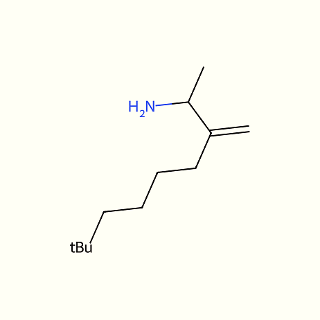 C=C(CCCCC(C)(C)C)C(C)N